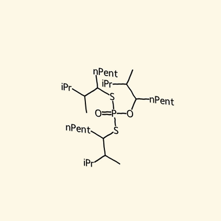 CCCCCC(OP(=O)(SC(CCCCC)C(C)C(C)C)SC(CCCCC)C(C)C(C)C)C(C)C(C)C